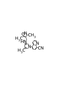 Cc1noc(C)c1CN[C@@H]1C[C@H](C)CN(c2ccc(C#N)c3ncccc23)C1